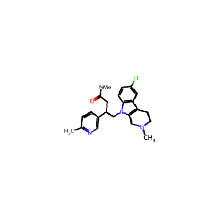 CNC(=O)CC(Cn1c2c(c3cc(Cl)ccc31)CCN(C)C2)c1ccc(C)nc1